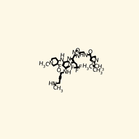 CNCC#CC(=O)Nc1cc(N[C@@H]2CCN(C)C[C@@H]2F)c2nc(-c3noc(CNC(=O)c4cnn(C(C)(C)C)c4)n3)c(CC(F)(F)F)n2c1